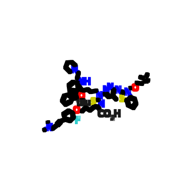 Cc1cc(N(CCCC(CNCCN2CCCCC2)O[Si](c2ccccc2)(c2ccccc2)C(C)(C)C)c2nc(C(=O)O)c(CCCOc3ccc(C#CCN(C)C)cc3F)s2)nnc1/N=c1\sc2ccccc2n1COCC[Si](C)(C)C